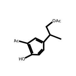 CC(=O)OCC(C)c1ccc(O)c(C(C)=O)c1